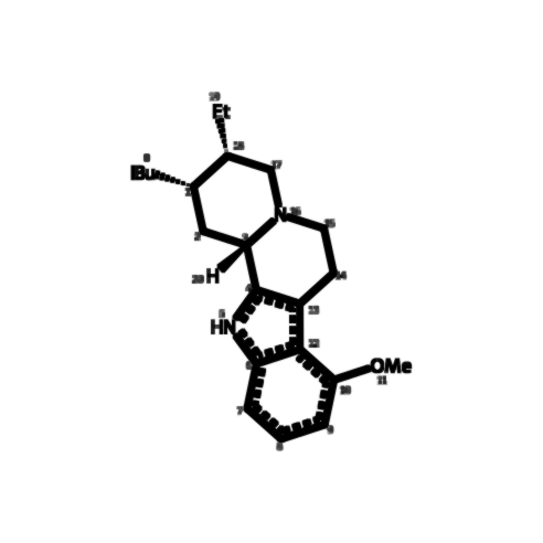 CCC(C)[C@H]1C[C@H]2c3[nH]c4cccc(OC)c4c3CCN2C[C@H]1CC